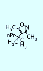 CCCC(C)(C)c1c(C)noc1C